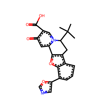 CC(C)(C)C1Cc2c(oc3c(-c4cnco4)cccc23)-c2cc(=O)c(C(=O)O)cn21